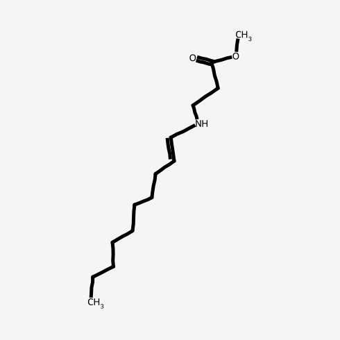 CCCCCCCCC=CNCCC(=O)OC